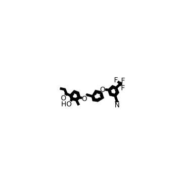 CCC(=O)c1ccc(OCc2cccc(Oc3cc(C#N)cc(C(F)(F)F)c3)c2)c(C)c1O